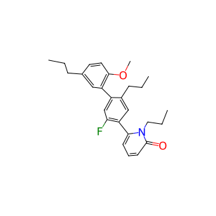 CCCc1ccc(OC)c(-c2cc(F)c(-c3cccc(=O)n3CCC)cc2CCC)c1